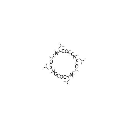 CC(C)CC1COC(C)CN(C)C(CC(C)C)COCCN(C)C(CC(C)C)COC(C)CN(C)C(CC(C)C)COCCN1C